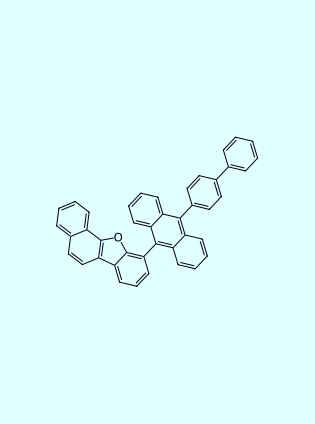 c1ccc(-c2ccc(-c3c4ccccc4c(-c4cccc5c4oc4c6ccccc6ccc54)c4ccccc34)cc2)cc1